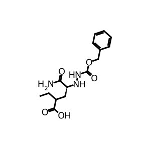 CCC(C[C@H](NNC(=O)OCc1ccccc1)C(N)=O)C(=O)O